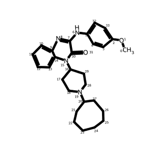 COc1ccc(Nc2nc3ccccc3n(C3CCN(C4CCCCCCC4)CC3)c2=O)cc1